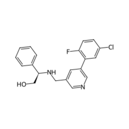 OC[C@H](NCc1cncc(-c2cc(Cl)ccc2F)c1)c1ccccc1